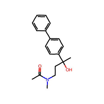 CC(=O)N(C)CCC(C)(O)c1ccc(-c2ccccc2)cc1